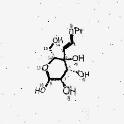 CCCC=C[C@]1(O)[C@H](O)[C@@H](O)C(O)O[C@@H]1CO